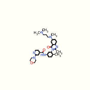 Cc1ccc(NC(=O)c2ccnc(N3CCOCC3)c2)cc1-n1c(C)nc2ccc(N(C)CCCN(C)C)cc2c1=O